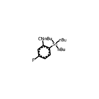 CCC[CH2][Sn]([CH2]CCC)([CH2]CCC)[c]1ccc(F)cc1C#N